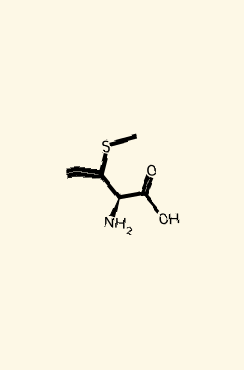 C=C(SC)[C@H](N)C(=O)O